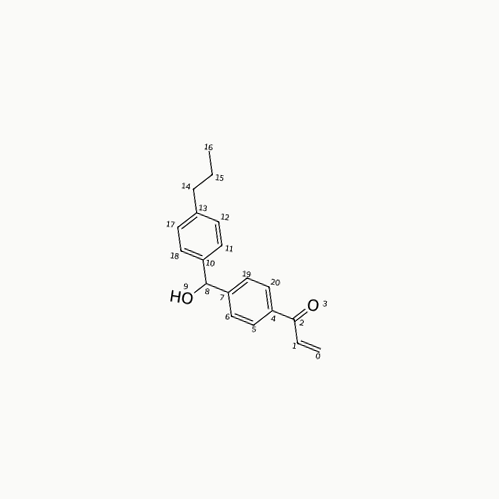 C=CC(=O)c1ccc(C(O)c2ccc(CCC)cc2)cc1